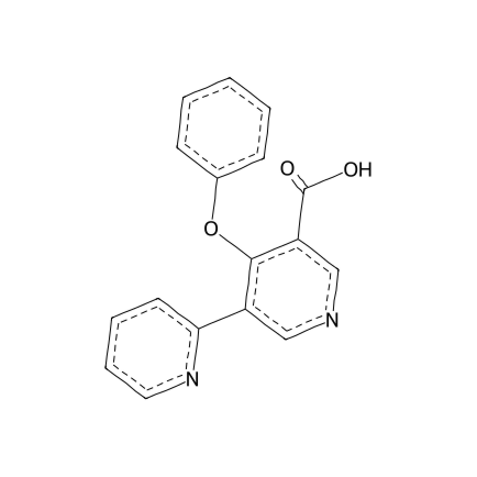 O=C(O)c1cncc(-c2ccccn2)c1Oc1ccccc1